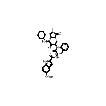 COc1ccc2[nH]c(C(=O)N[C@@H](Cc3ccccc3)C(=O)NC(C[C@@H]3CCNC3=O)C(=O)C(=O)NC3CCCCC3)cc2c1